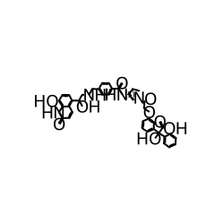 O=C(N[C@H]1CCN(C(=O)COc2cccc(C(O)(C(=O)O)c3ccccc3)c2)C1)c1ccc(CNCC(O)c2ccc(O)c3[nH]c(=O)ccc23)cc1